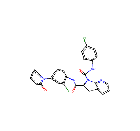 O=C(Nc1ccc(-n2ccccc2=O)cc1F)C1Cc2cccnc2N1C(=O)Nc1ccc(Cl)cc1